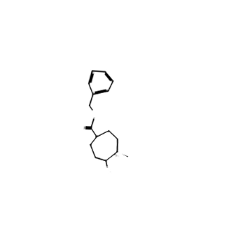 C[C@@H]1CCC(C(=O)OCc2ccccc2)CCC1Br